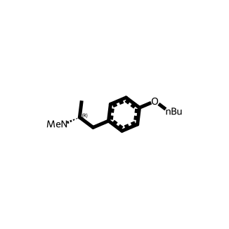 CCCCOc1ccc(C[C@@H](C)NC)cc1